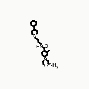 Cc1cc(N2CCOC(N)C2)ccc1C(=O)NCCCCN1CC=C(c2ccccc2)CC1